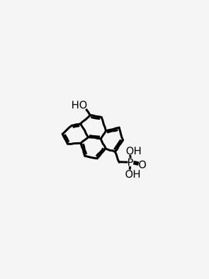 O=P(O)(O)Cc1ccc2cc(O)c3cccc4ccc1c2c43